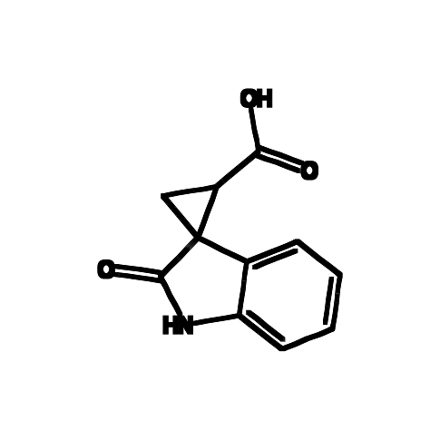 O=C(O)C1CC12C(=O)Nc1ccccc12